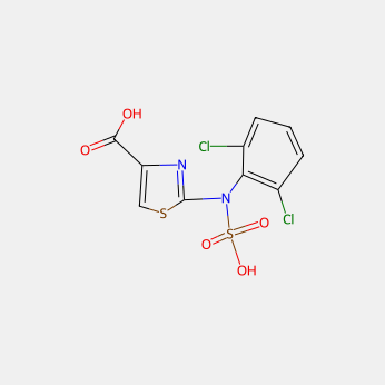 O=C(O)c1csc(N(c2c(Cl)cccc2Cl)S(=O)(=O)O)n1